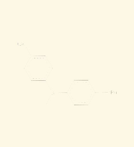 CB(c1ccc(C(C)(C)C)cc1)c1ccc(C(C)(C)C)cc1